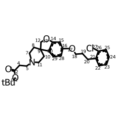 CC(C)(C)OC(=O)CCN1CCC2(CC1)COc1cc(OCCCc3ccccc3Cl)ccc12